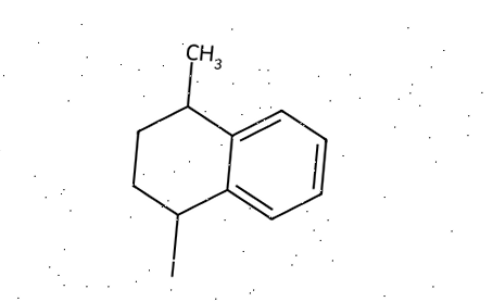 CC1CCC(I)c2ccccc21